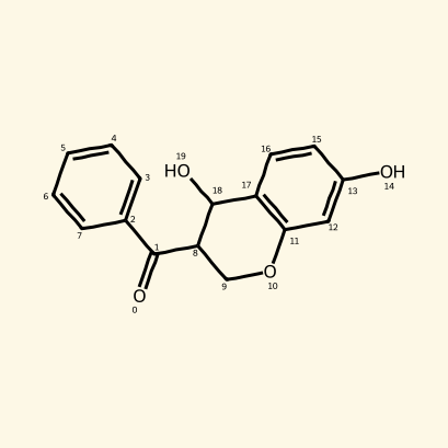 O=C(c1ccccc1)C1COc2cc(O)ccc2C1O